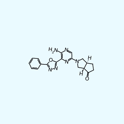 Nc1ncc(N2C[C@H]3CCC(=O)[C@@H]3C2)nc1-c1nnc(-c2ccccc2)o1